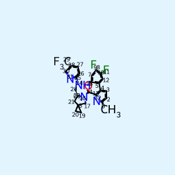 Cc1ccc(-c2ccc(F)c(F)c2)c(C(=O)N2CC3(CC3)C[C@H]2CNc2ccc(C(F)(F)F)cn2)n1